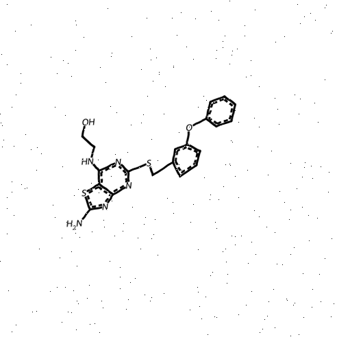 Nc1nc2nc(SCc3cccc(Oc4ccccc4)c3)nc(NCCO)c2s1